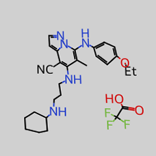 CCOc1ccc(Nc2c(C)c(NCCCNC3CCCCC3)c(C#N)c3ccnn23)cc1.O=C(O)C(F)(F)F